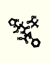 CO[C@@H]([C@@H]1CCCN1)[C@@H](C)C(=O)N[C@@]1(C(=O)O)C[C@@H]1c1ccccc1.O=C(O)C(F)(F)F